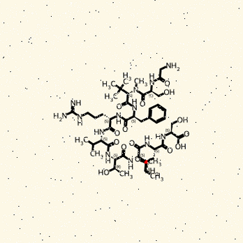 CC[C@H](C)[C@H](NC(=O)[C@@H](NC(=O)[C@@H](NC(=O)[C@H](CCCNC(=N)N)NC(=O)[C@H](Cc1ccccc1)NC(=O)[C@@H](N(C)C(=O)[C@H](CO)NC(=O)CN)C(C)(C)C)C(C)C)[C@@H](C)O)C(=O)N[C@@H](CC(N)=O)C(=O)N[C@@H](CO)C(=O)O